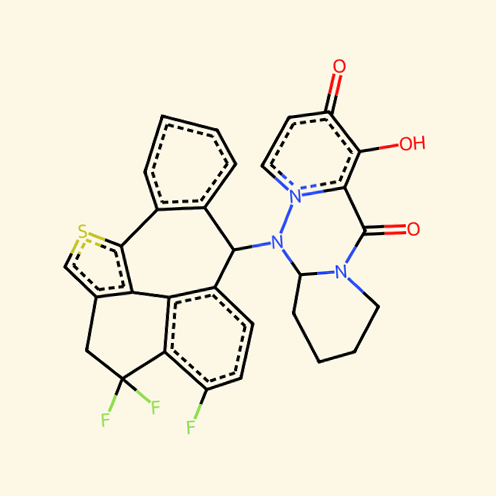 O=C1c2c(O)c(=O)ccn2N(C2c3ccccc3-c3scc4c3-c3c2ccc(F)c3C(F)(F)C4)C2CCCCN12